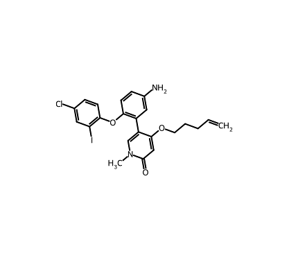 C=CCCCOc1cc(=O)n(C)cc1-c1cc(N)ccc1Oc1ccc(Cl)cc1I